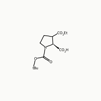 CCOC(=O)C1CCN(C(=O)OC(C)(C)C)[C@@H]1C(=O)O